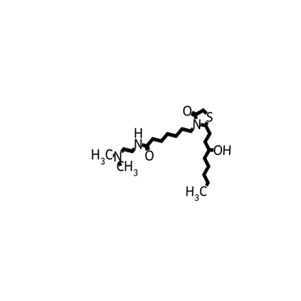 CCCCCC(O)CCC1SCC(=O)N1CCCCCCC(=O)NCCN(C)C